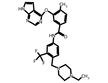 CCN1CCN(Cc2ccc(NC(=O)c3ccc(C)c(Oc4ncnc5[nH]ccc45)c3)cc2C(F)(F)F)CC1